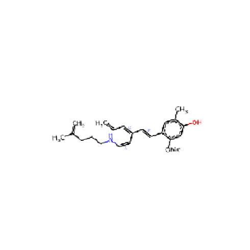 C=C/C=C(\C=C/NCCCC(=C)C)/C=C/c1cc(C)c(O)cc1OC